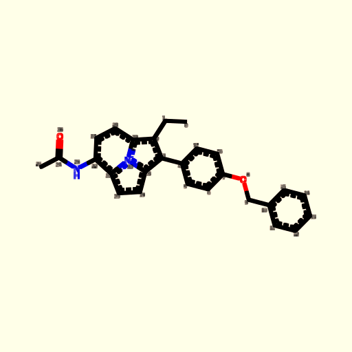 CCc1c(-c2ccc(OCc3ccccc3)cc2)c2ccc3c(NC(C)=O)ccc1n32